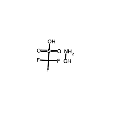 NO.O=S(=O)(O)C(F)(F)F